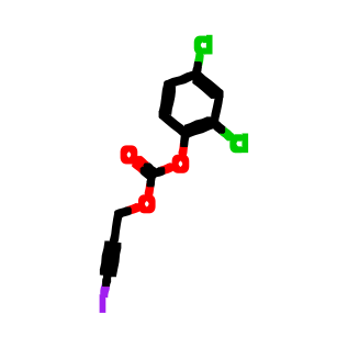 O=C(OCC#CI)Oc1ccc(Cl)cc1Cl